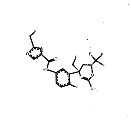 NC1=N[C@](CF)(c2cc(NC(=O)c3coc(CF)n3)ccc2F)C[C@@H](C(F)(F)F)O1